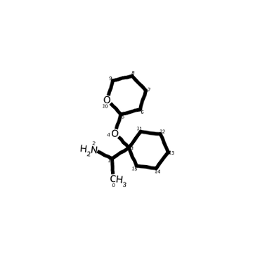 CC(N)C1(OC2CCCCO2)CCCCC1